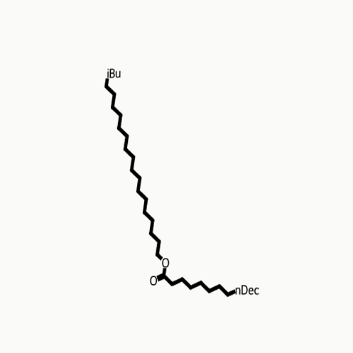 CCCCCCCCCCCCCCCCCC(=O)OCCCCCCCCCCCCCCCCCC(C)CC